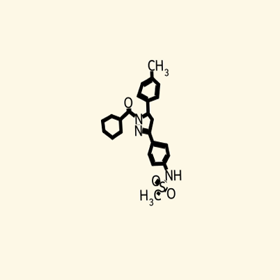 Cc1ccc(C2CC(c3ccc(NS(C)(=O)=O)cc3)=NN2C(=O)C2CCCCC2)cc1